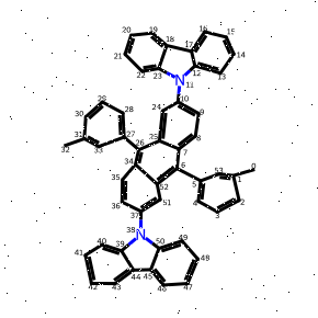 Cc1cccc(-c2c3ccc(-n4c5ccccc5c5ccccc54)cc3c(-c3cccc(C)c3)c3ccc(-n4c5ccccc5c5ccccc54)cc23)c1